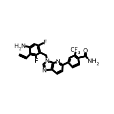 C=Cc1c(N)cc(F)c(Cn2cnc3ccc(-c4ccc(C(N)=O)c(C(F)(F)F)c4)nc32)c1F